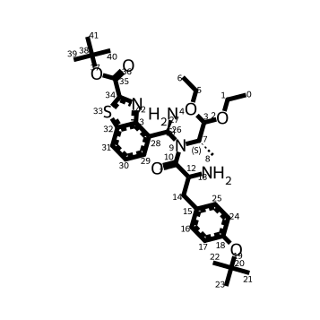 CCOC(OCC)[C@H](C)N(C(=O)C(N)Cc1ccc(OC(C)(C)C)cc1)[C@H](N)c1cccc2sc(C(=O)OC(C)(C)C)nc12